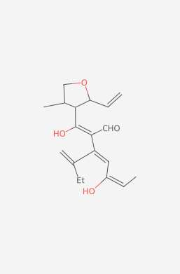 C=CC1OCC(C)C1/C(O)=C(C=O)/C(=C/C(O)=C\C)C(=C)CC